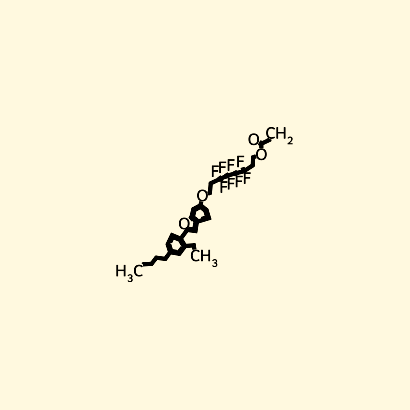 C=CC(=O)OCCC(F)(F)C(F)(F)C(F)(F)C(F)(F)CCOc1ccc2cc(-c3ccc(CCCCC)cc3CC)oc2c1